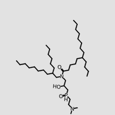 CCCCCCCCC(CCCC)CCCCC(=O)N(CC(O)C[PH](=O)CCN(C)C)CC(CCCCCC)CCCCCCCC